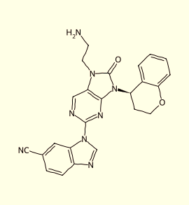 N#Cc1ccc2ncn(-c3ncc4c(n3)n([C@@H]3CCOc5ccccc53)c(=O)n4CCN)c2c1